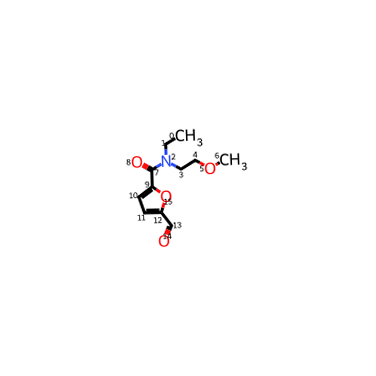 CCN(CCOC)C(=O)c1ccc(C=O)o1